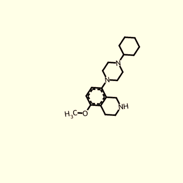 COc1ccc(N2CCN(C3CCCCC3)CC2)c2c1CCNC2